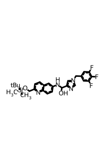 CC(C)(C)[Si](C)(C)OCc1ccc2cc(NC(O)c3cn(Cc4cc(F)c(F)c(F)c4)cn3)ccc2n1